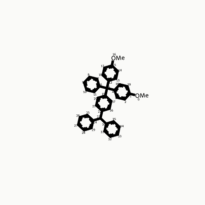 COc1ccc(C(c2ccccc2)(c2ccc(OC)cc2)c2ccc([C](c3ccccc3)c3ccccc3)cc2)cc1